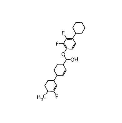 CC1CCC(C2C=CC(C(O)Oc3ccc(C4CCCCC4)c(F)c3F)CC2)C=C1F